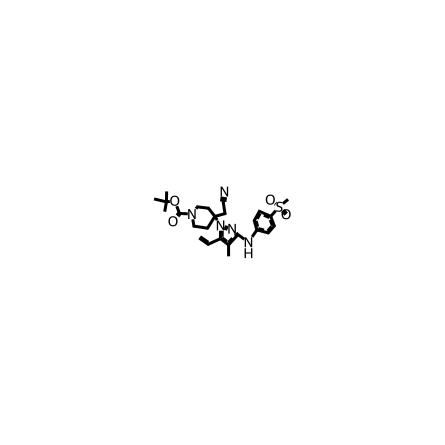 C=Cc1c(C)c(Nc2ccc(S(C)(=O)=O)cc2)nn1C1(CC#N)CCN(C(=O)OC(C)(C)C)CC1